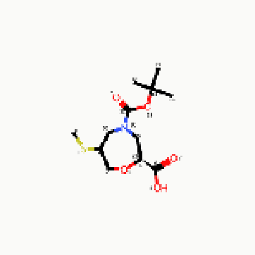 CSC1CO[C@H](C(=O)O)CN(C(=O)OC(C)(C)C)C1